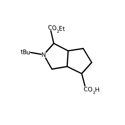 CCOC(=O)C1C2CCC(C(=O)O)C2CN1C(C)(C)C